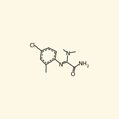 Cc1cc(Cl)ccc1N=C(C(N)=O)N(C)C